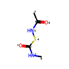 CNC(=O)SNC(C)=O